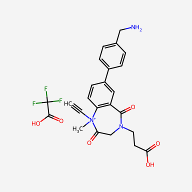 C#C[N+]1(C)C(=O)CN(CCC(=O)O)C(=O)c2cc(-c3ccc(CN)cc3)ccc21.O=C(O)C(F)(F)F